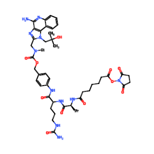 CCN(Cc1nc2c(N)nc3ccccc3c2n1CC(C)(C)O)C(=O)OCc1ccc(NC(=O)C(CCCNC(N)=O)NC(=O)[C@@H](NC(=O)CCCCCC(=O)ON2C(=O)CCC2=O)C(C)C)cc1